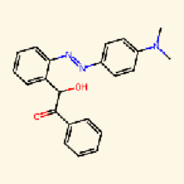 CN(C)c1ccc(N=Nc2ccccc2C(O)C(=O)c2ccccc2)cc1